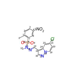 Cc1ccc([N+](=O)[O-])cc1S(=O)(=O)N(C)N=Cc1cnn2ccc(Cl)cc12